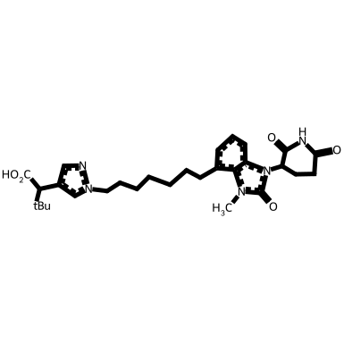 Cn1c(=O)n(C2CCC(=O)NC2=O)c2cccc(CCCCCCCn3cc(C(C(=O)O)C(C)(C)C)cn3)c21